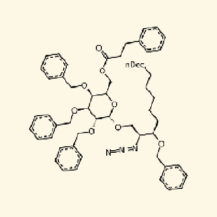 CCCCCCCCCCCCCCC[C@@H](OCc1ccccc1)[C@H](CO[C@H]1O[C@H](COC(=O)CCc2ccccc2)[C@H](OCc2ccccc2)[C@H](OCc2ccccc2)[C@H]1OCc1ccccc1)N=[N+]=[N-]